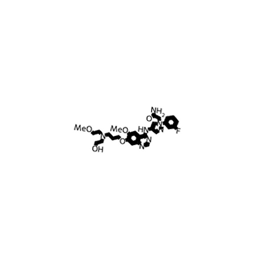 COCCN(CCO)CCCOc1cc2ncnc(NC3=C[N+](CC(N)=O)(c4cccc(F)c4)N=C3)c2cc1OC